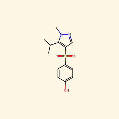 CC(C)c1c(S(=O)(=O)c2ccc(O)cc2)cnn1C